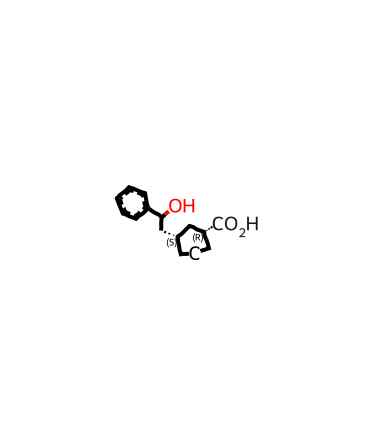 O=C(O)[C@@H]1CCC[C@H](CC(O)c2ccccc2)C1